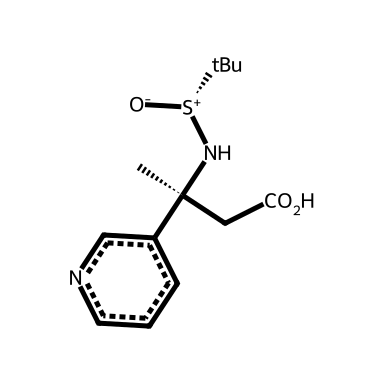 CC(C)(C)[S@@+]([O-])N[C@@](C)(CC(=O)O)c1cccnc1